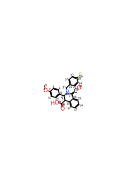 COc1ccc(C2C(C(=O)O)c3ccccc3C(=C=O)N2Cc2ccc(F)cc2)cc1